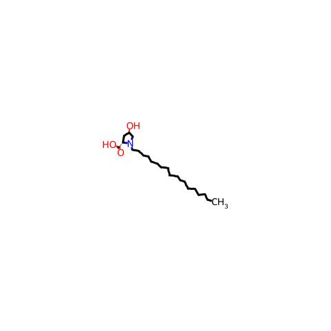 CCCCCCCCCCCCCCCCCCN1C[C@H](O)C[C@H]1C(=O)O